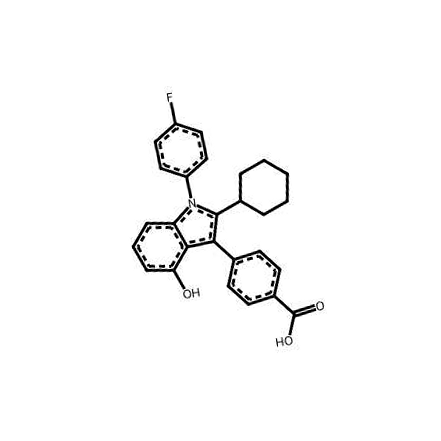 O=C(O)c1ccc(-c2c(C3CCCCC3)n(-c3ccc(F)cc3)c3cccc(O)c23)cc1